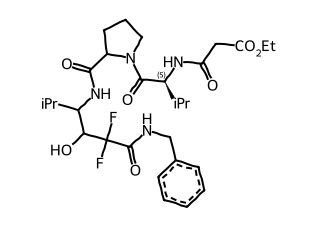 CCOC(=O)CC(=O)N[C@H](C(=O)N1CCCC1C(=O)NC(C(C)C)C(O)C(F)(F)C(=O)NCc1ccccc1)C(C)C